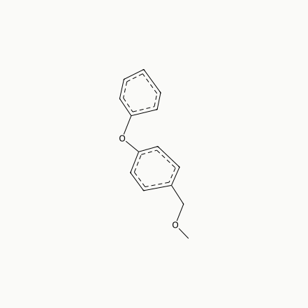 COCc1ccc(Oc2ccccc2)cc1